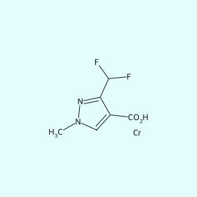 Cn1cc(C(=O)O)c(C(F)F)n1.[Cr]